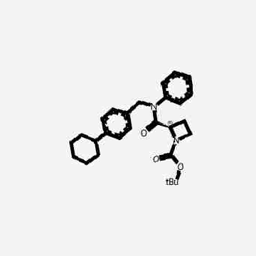 CC(C)(C)OC(=O)N1CC[C@@H]1C(=O)N(Cc1ccc(C2CCCCC2)cc1)c1ccccc1